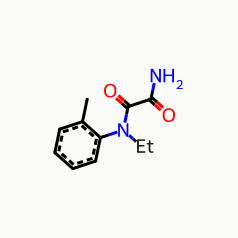 CCN(C(=O)C(N)=O)c1ccccc1C